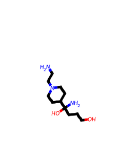 NCCN1CCC(C(N)(O)CCCO)CC1